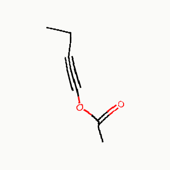 CCC#COC(C)=O